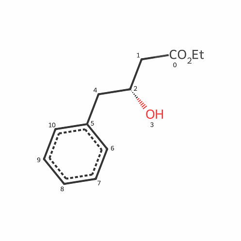 CCOC(=O)C[C@H](O)Cc1ccccc1